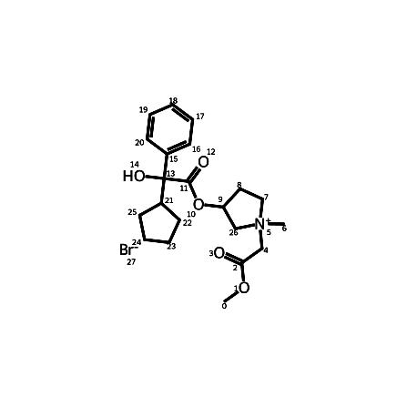 COC(=O)C[N+]1(C)CCC(OC(=O)C(O)(c2ccccc2)C2CCCC2)C1.[Br-]